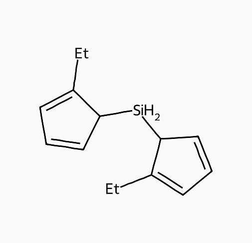 CCC1=CC=CC1[SiH2]C1C=CC=C1CC